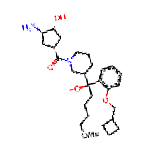 COCCCCC(O)(c1ccccc1OCC1CCC1)C1CCCN(C(=O)[C@H]2C[C@@H](N)[C@H](O)C2)C1